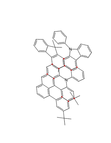 CC1CC2=C(C=C1c1ccccc1N(c1ccccc1-c1ccc3c4ccccc4n(-c4ccccc4)c3c1)c1ccccc1-c1cccc3cccc(-c4cc(C(C)(C)C)cc(C(C)(C)C)c4)c13)C(C)(C)c1ccccc12